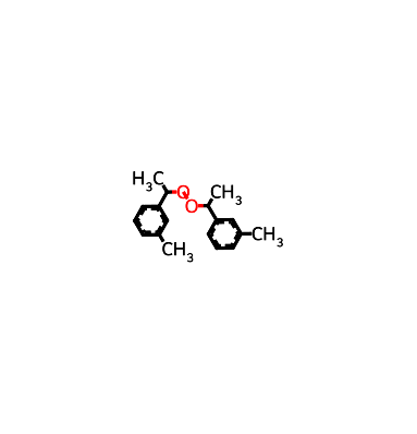 Cc1cccc(C(C)OOC(C)c2cccc(C)c2)c1